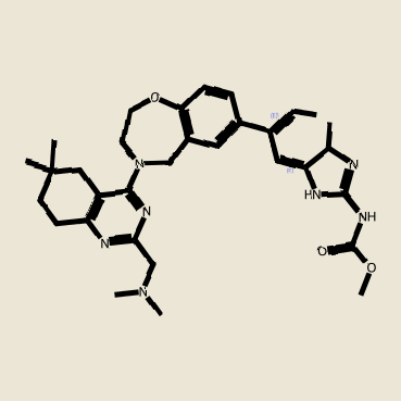 C/C=C(\C=C1\NC(NC(=O)OC)=NC1C)c1ccc2c(c1)CN(c1nc(CN(C)C)nc3c1CC(C)(C)CC3)CCO2